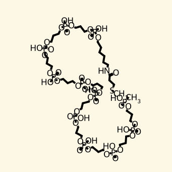 CSCCC(=O)NCCCCCCOP(=O)(O)OCCCOP(=O)(O)OCCCOP(=O)(O)OCCCOP(=O)(O)OCCCOP(=O)(O)OCCCOP(=O)(O)OCCCOP(=O)(O)OCCCOP(=O)(O)OCCCOP(=O)(O)OCCCOP(=O)(O)OCCCOP(C)(=O)O